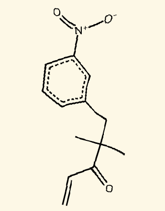 C=CC(=O)C(C)(C)Cc1cccc([N+](=O)[O-])c1